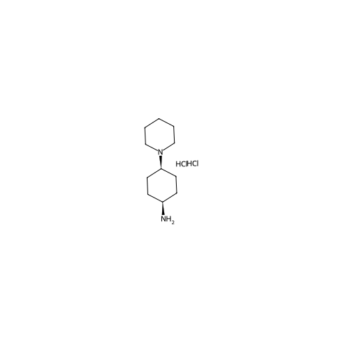 Cl.Cl.N[C@H]1CC[C@@H](N2CCCCC2)CC1